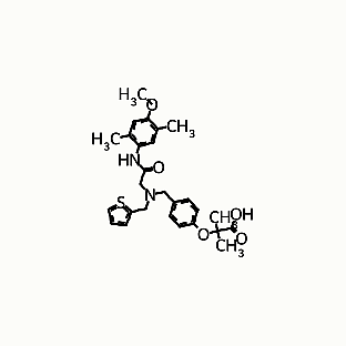 COc1cc(C)c(NC(=O)CN(Cc2ccc(OC(C)(C)C(=O)O)cc2)Cc2cccs2)cc1C